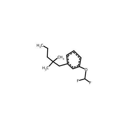 CCCC(C)(C)Cc1cccc(OC(F)F)c1